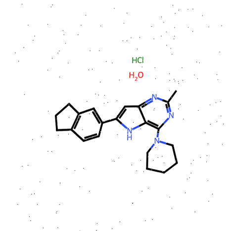 Cc1nc(N2CCCCC2)c2[nH]c(-c3ccc4c(c3)CCC4)cc2n1.Cl.O